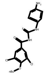 CCCCOc1c(Cl)cc(C(=O)NC(=S)Nc2ccc(N)cc2)cc1Cl